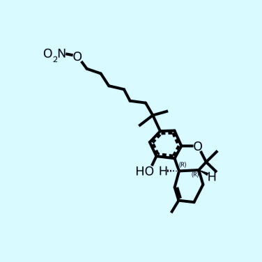 CC1=C[C@H]2c3c(O)cc(C(C)(C)CCCCCCO[N+](=O)[O-])cc3OC(C)(C)[C@@H]2CC1